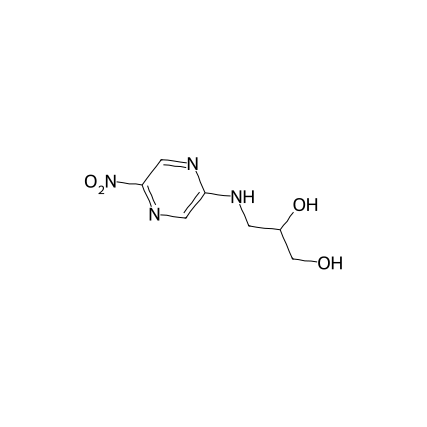 O=[N+]([O-])c1cnc(NCC(O)CO)cn1